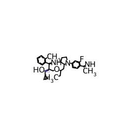 CCC(CC1CCCN1c1ccc(C(C)=N)c(F)c1)OC/C(C(=N)c1ccccc1C)=C(/O)C1CC1